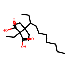 CCCCCCCC(CC)C(CC)(CC)C(CC)(C(=O)O)C(=O)O